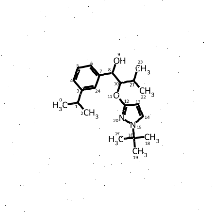 CC(C)c1cccc(C(O)C(Oc2ccn(C(C)(C)C)n2)C(C)C)c1